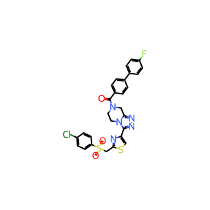 O=C(c1ccc(-c2ccc(F)cc2)cc1)N1CCn2c(nnc2-c2csc(CS(=O)(=O)c3ccc(Cl)cc3)n2)C1